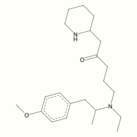 CCN(CCCC(=O)CC1CCCCN1)C(C)Cc1ccc(OC)cc1